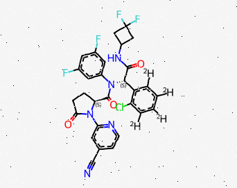 [2H]c1c([2H])c([2H])c([C@@H](C(=O)NC2CC(F)(F)C2)N(C(=O)[C@@H]2CCC(=O)N2c2cc(C#N)ccn2)c2cc(F)cc(F)c2)c(Cl)c1[2H]